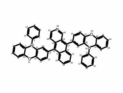 c1ccc(N2c3ccccc3Oc3ccc(-c4c5ccccc5c(-c5ccc6c(c5)N(c5ccccc5)c5ccccc5O6)c5cnccc45)cc32)cc1